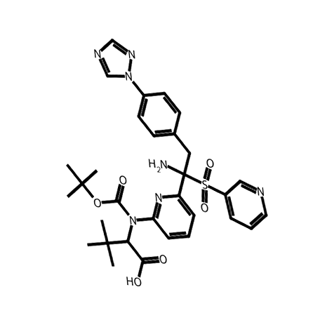 CC(C)(C)OC(=O)N(c1cccc(C(N)(Cc2ccc(-n3cncn3)cc2)S(=O)(=O)c2cccnc2)n1)C(C(=O)O)C(C)(C)C